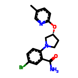 Cc1ccc(O[C@@H]2CCN(c3ccc(Br)cc3C(N)=O)C2)nc1